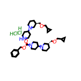 C1C[C@@H](COCC2CC2)CN(C2CCNCC2)C1.Cl.Cl.O=C(OCc1ccccc1)N1CCC(N2CCC[C@@H](COCC3CC3)C2)CC1